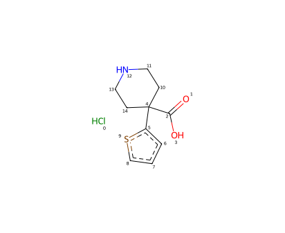 Cl.O=C(O)C1(c2cccs2)CCNCC1